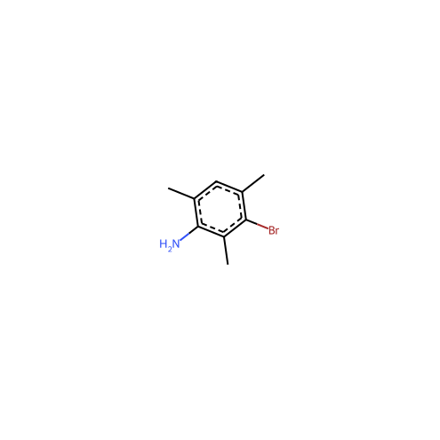 Cc1cc(C)c(Br)c(C)c1N